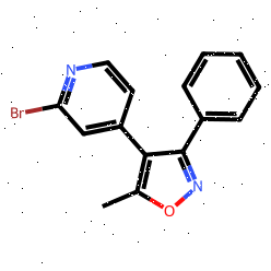 Cc1onc(-c2ccccc2)c1-c1ccnc(Br)c1